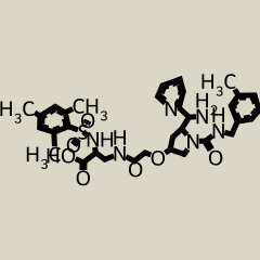 Cc1cccc(CNC(=O)N2CC(OCC(=O)NCC(NS(=O)(=O)c3c(C)cc(C)cc3C)C(=O)O)CC2C(N)c2ccccn2)c1